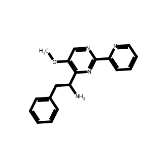 COc1cnc(-c2ccccn2)nc1C(N)Cc1ccccc1